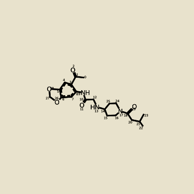 CC(=O)c1cc2c(cc1NC(=O)CNC1CCN(C(=O)CC(C)C)CC1)OCO2